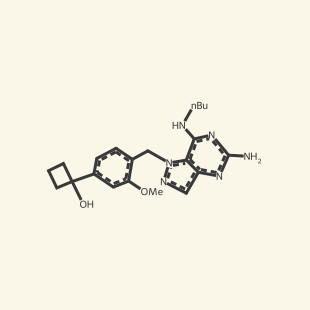 CCCCNc1nc(N)nc2cnn(Cc3ccc(C4(O)CCC4)cc3OC)c12